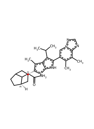 Cc1c(-c2[nH]c3sc([C@H]4CC5CC[C@H](C4)C5CC(N)=O)c(C)c3c2C(C)C)cn2ncnc2c1C